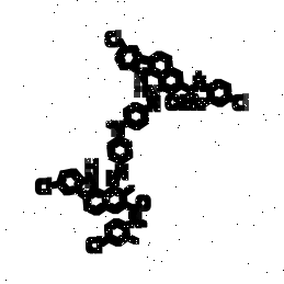 COc1c(C(=O)N(C)c2ccc(Cl)cc2C)cc2ccc3c4cc(Cl)ccc4[nH]c3c2c1N=Nc1ccc(N(C)c2ccc(N=Nc3c(C)c(C(=O)N(C)c4ccc(Cl)cc4C)cc4ccc5c6cc(Cl)ccc6[nH]c5c34)cc2)cc1